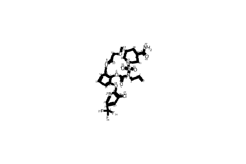 CCCN(C(=O)Oc1c(OCCOC)cccc1Oc1ncc(C(F)(F)F)cc1Cl)S(=O)(=O)N1CCCC(C(N)=O)C1